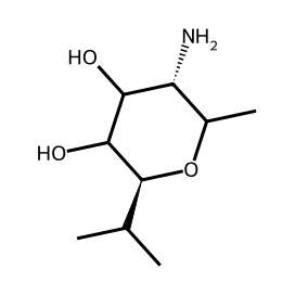 CC1O[C@@H](C(C)C)C(O)C(O)[C@@H]1N